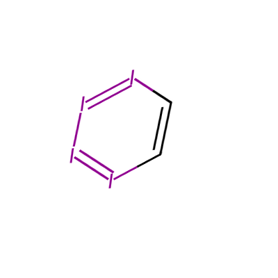 C1=CI=II=I1